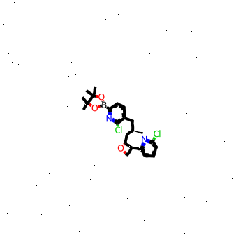 C[C@H](Cc1ccc(B2OC(C)(C)C(C)(C)O2)nc1Cl)CC1OCC1c1cccc(Cl)n1